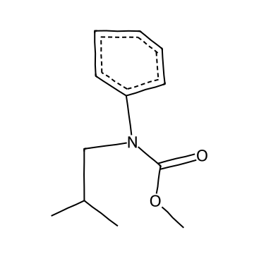 COC(=O)N(CC(C)C)c1ccccc1